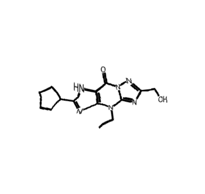 CCn1c2nc(C3CCCC3)[nH]c2c(=O)n2nc(CO)nc12